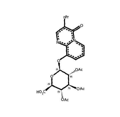 CCCc1cnc2c(O[C@@H]3O[C@H](C(=O)O)[C@@H](OC(C)=O)[C@H](OC(C)=O)[C@H]3OC(C)=O)cccn2c1=O